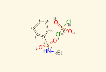 CCNS(=O)(=O)c1ccccc1.O=S(=O)(Cl)Cl